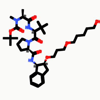 C[C@@H](C(=O)N[C@H](C(=O)N1CCC[C@H]1C(=O)N[C@H]1c2ccccc2C[C@H]1OCCCOCCCCCO)C(C)(C)C)N(C)C(=O)OC(C)(C)C